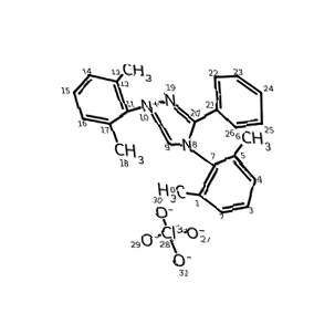 Cc1cccc(C)c1-n1c[n+](-c2c(C)cccc2C)nc1-c1ccccc1.[O-][Cl+3]([O-])([O-])[O-]